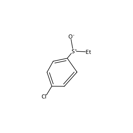 CC[S+]([O-])c1ccc(Cl)cc1